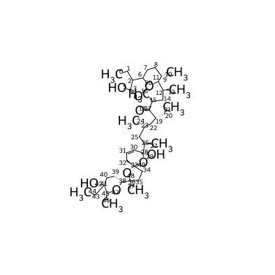 CCC(C(=O)O)C1CC[C@H](C)C([C@@H](C)C[C@H](C)C(=O)[C@H](CC)C[C@@H](C)C[C@@H](C)[C@]2(O)C=CC[C@]3(CC[C@@](C)([C@H]4CC[C@](O)(CC)[C@H](C)O4)O3)O2)O1